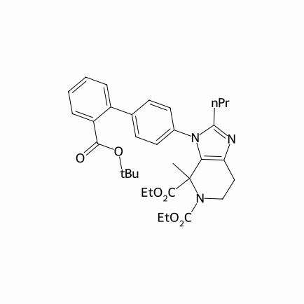 CCCc1nc2c(n1-c1ccc(-c3ccccc3C(=O)OC(C)(C)C)cc1)C(C)(C(=O)OCC)N(C(=O)OCC)CC2